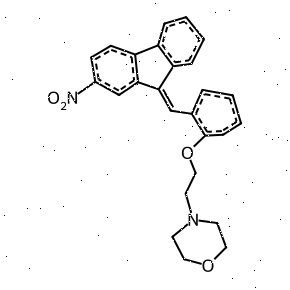 O=[N+]([O-])c1ccc2c(c1)/C(=C/c1ccccc1OCCN1CCOCC1)c1ccccc1-2